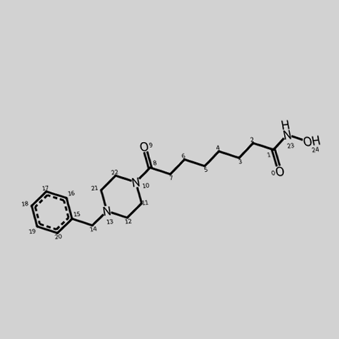 O=C(CCCCCCC(=O)N1CCN(Cc2ccccc2)CC1)NO